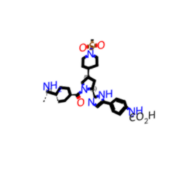 C[C@H](N)[C@H]1CC[C@H](C(=O)N2C[C@@H](C3CCN(S(C)(=O)=O)CC3)C[C@H]2c2ncc(-c3ccc(NC(=O)O)cc3)[nH]2)CC1